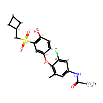 CCOC(=O)C(=O)Nc1cc(C)c(Oc2ccc(O)c(S(=O)(=O)CC3CCC3)c2)c(Cl)c1